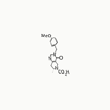 COc1ccc(Cn2cnc3c(c2=O)CN(C(=O)O)[C@H](C)C3)cc1